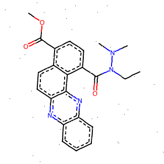 CCN(C(=O)c1ccc(C(=O)OC)c2ccc3nc4ccccc4nc3c12)N(C)C